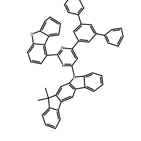 CC1(C)c2ccccc2-c2cc3c4ccccc4n(-c4cc(-c5cc(-c6ccccc6)cc(-c6ccccc6)c5)nc(-c5cccc6oc7ccccc7c56)n4)c3cc21